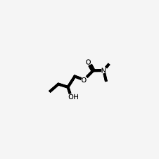 CCC(O)COC(=O)N(C)C